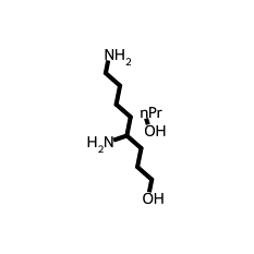 CCCO.NCCCCC(N)CCCO